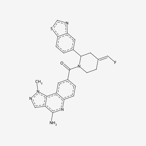 Cn1ncc2c(N)nc3ccc(C(=O)N4CCC(=CF)CC4c4ccc5scnc5c4)cc3c21